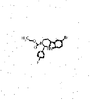 CCOC(=O)N1CCc2c([nH]c3ccc(Br)cc23)C1c1ccc(F)cc1